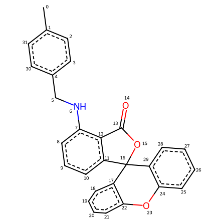 Cc1ccc(CNc2cccc3c2C(=O)OC32c3ccccc3Oc3ccccc32)cc1